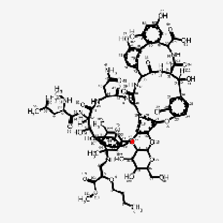 CCCCOC(CNC1(C)CC(OC2C(Oc3c4cc5cc3Oc3ccc(cc3Cl)[C@@H](O)[C@@H]3NC(=O)C(NC(=O)C5NC(=O)C(CC(N)=O)NC(=O)[C@@H](NC(=O)[C@@H](CC(C)C)NC)C(O)c5ccc(c(Cl)c5)O4)c4ccc(O)c(c4)-c4c(O)cc(O)cc4C(C(=O)O)NC3=O)OC(CO)C(O)C2O)OC(C)C1O)C(=O)OC